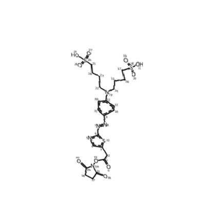 O=C(Cc1cnc(N=Nc2ccc(N(CCCCS(=O)(=O)O)CCCCS(=O)(=O)O)cc2)s1)ON1C(=O)CCC1=O